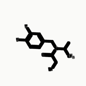 CC(N(Cc1ccc(F)c(F)c1)C(=O)CBr)C(F)(F)F